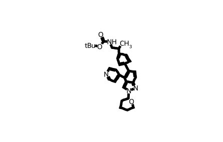 CC(CNC(=O)OC(C)(C)C)c1ccc(-c2ccc3nn(C4CCCCO4)cc3c2-c2ccncc2)cc1